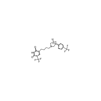 O=c1[nH]c(=O)n(CCCCN2C[C@@H]3C[C@]3(c3ccc(C(F)(F)F)cc3)C2)cc1C(F)(F)F